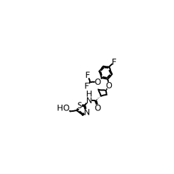 O=C(Nc1ncc(CO)s1)[C@H]1C[C@H](Oc2cc(F)ccc2OC(F)F)C1